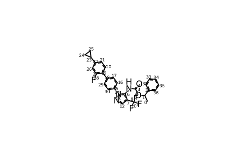 CC(OC(=O)Nc1c(C(F)(F)F)cnn1-c1ccc(-c2ccc(C3CC3)cc2F)cc1)c1ccccc1